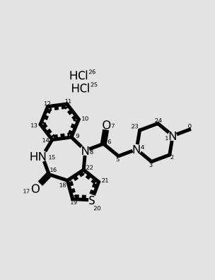 CN1CCN(CC(=O)N2c3ccccc3NC(=O)c3cscc32)CC1.Cl.Cl